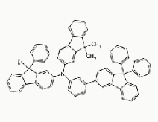 CCC1(c2ccccc2)c2ccccc2-c2ccc(N(c3cccc(-c4ccc5c(c4)-c4ccccc4C5(c4ccccc4)c4ccccc4)c3)c3ccc4c(c3)C(C)(C)c3ccccc3-4)cc21